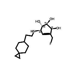 O[C@@H]1[C@@H](O)[C@@H](O)C(CF)=C[C@H]1NCCC1CCC2(CC1)CC2